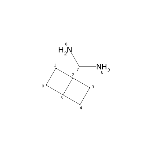 C1CC2CCC12.NCN